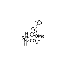 COc1cc(C2NC(=S)NC(C)=C2C(=O)O)ccc1OC(=O)C=Cc1ccccc1C